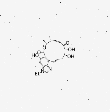 CCn1cnc2c3c(c(O)cc21)C(=O)O[C@@H](C)[C@H](C)/C=C\C(=O)C(O)[C@@H](O)C/C=C/3